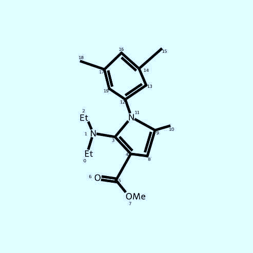 CCN(CC)c1c(C(=O)OC)cc(C)n1-c1cc(C)cc(C)c1